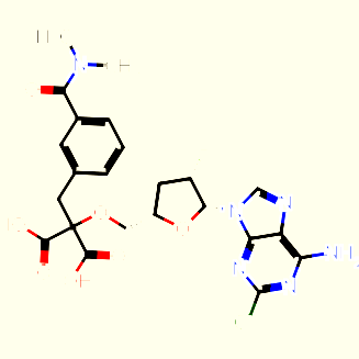 CN(C)C(=O)c1cccc(CC(OC[C@@H]2C[C@H](F)[C@H](n3cnc4c(N)nc(Cl)nc43)O2)(C(=O)O)C(=O)O)c1